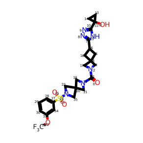 O=C(N1CC2(CC(c3nnc(C4(O)CC4)[nH]3)C2)C1)N1CC2(C1)CN(S(=O)(=O)c1cccc(OC(F)(F)F)c1)C2